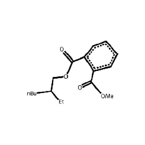 CCCCC(CC)COC(=O)c1ccccc1C(=O)OC